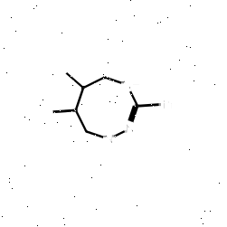 CC(C)/C1=N/NCC(C)C(C)CN1